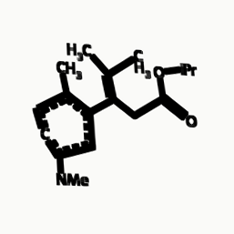 CNc1ccc(C)c(C(CC(=O)OC(C)C)=C(C)C)c1